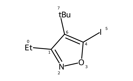 CCc1noc(I)c1C(C)(C)C